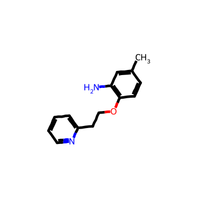 Cc1ccc(OCCc2ccccn2)c(N)c1